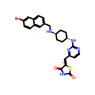 O=C1NC(=O)/C(=C/c2ccnc(N[C@H]3CC[C@H](NCc4ccc5cc(Br)ccc5c4)CC3)n2)S1